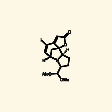 COC(OC)C1CC[C@H]2N1[C@@H]1C=C(I)C3=CC(=O)O[C@@]32C1